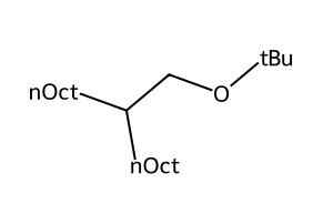 CCCCCCCCC(CCCCCCCC)COC(C)(C)C